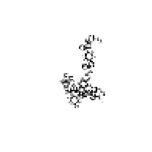 CCOC(=O)c1ccc(OC(=O)CCCc2ccc(NC(=O)c3ccccc3-c3ccc(C(F)(F)F)cc3)c(C(=O)N(C)C)c2)cc1